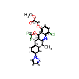 CCc1nc2c(Cl)ccc(OCC(=O)OC)c2c(OC(F)F)c1Cc1ccc(-n2cccn2)cc1